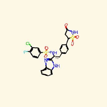 O=C1CC(c2ccc(C[C@H](NS(=O)(=O)c3ccc(F)c(Cl)c3)c3nc4ccccc4[nH]3)cc2)S(=O)(=O)N1